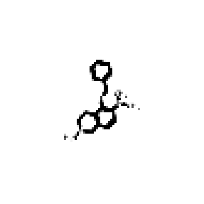 CN(C)c1ccc2c(c1OCc1ccccc1)CCN(N)C2